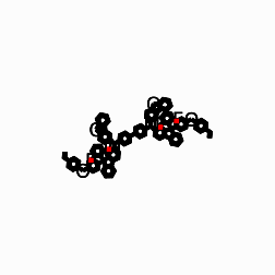 C=Cc1ccc(Oc2ccc(C3(c4c(F)cccc4F)c4ccccc4-c4ccc(N(c5ccc(-c6ccc(N(c7ccc8c(c7)C(c7ccc(Oc9ccc(C=C)cc9)cc7)(c7c(F)cccc7F)c7ccccc7-8)c7ccc8oc9ccccc9c8c7)cc6)cc5)c5ccc6oc7ccccc7c6c5)cc43)cc2)cc1